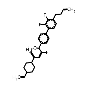 C=CCCc1ccc(-c2ccc(C(C)/C(F)=C\C(=C/C)C3CCC(C=C)CC3)cc2)c(F)c1F